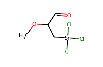 COC(C=O)[CH2][Sn]([Cl])([Cl])[Cl]